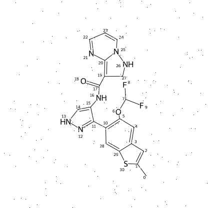 Cc1cc2cc(OC(F)F)c(-c3n[nH]cc3NC(=O)C3=C4N=CC=CN4NC3)cc2s1